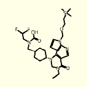 CCN1CN([C@H]2CC[C@H](CN(CC(F)F)C(=O)O)CC2)c2c(cnc3c2ccn3COCC[Si](C)(C)C)C1=O